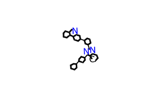 c1ccc(-c2ccc(-c3nc(-c4cccc(-c5ccc6c(c5)ncc5ccccc56)c4)nc4ccccc34)cc2)cc1